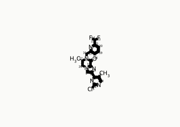 Cc1cnc(Cl)nc1-c1cn2c(n1)C(=O)N(Cc1cccc(C(F)F)n1)[C@@H](C)C2